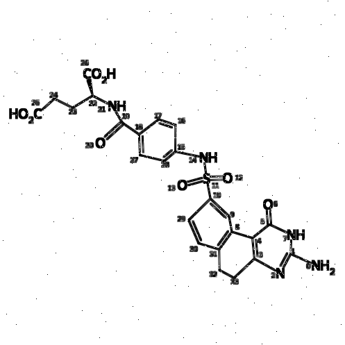 Nc1nc2c(c(=O)[nH]1)-c1cc(S(=O)(=O)Nc3ccc(C(=O)N[C@@H](CCC(=O)O)C(=O)O)cc3)ccc1CC2